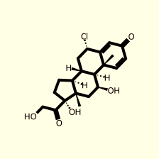 C[C@]12C=CC(=O)C=C1[C@@H](Cl)C[C@@H]1[C@@H]2[C@@H](O)C[C@@]2(C)[C@H]1CC[C@]2(O)C(=O)CO